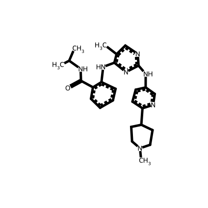 Cc1cnc(Nc2ccc(C3CCN(C)CC3)nc2)nc1Nc1ccccc1C(=O)NC(C)C